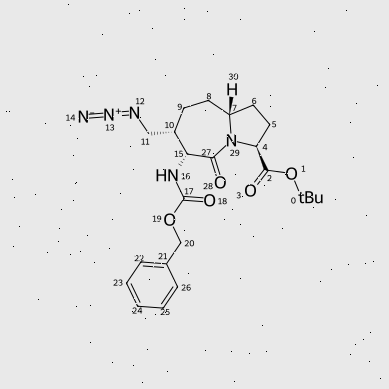 CC(C)(C)OC(=O)[C@@H]1CC[C@H]2CC[C@@H](CN=[N+]=[N-])[C@@H](NC(=O)OCc3ccccc3)C(=O)N21